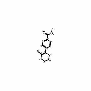 COC(=O)c1ccc(C2=C(C)CCCC2)cc1